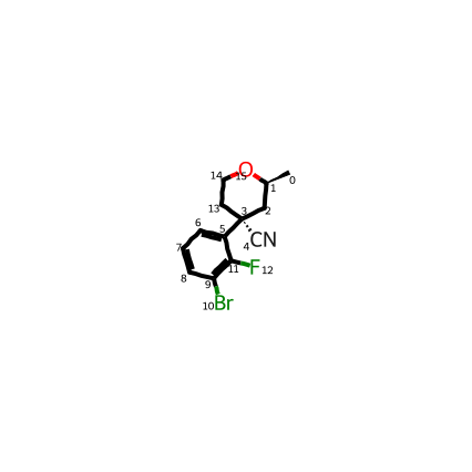 C[C@H]1C[C@@](C#N)(c2cccc(Br)c2F)CCO1